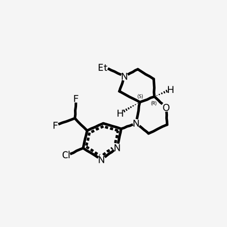 CCN1CC[C@H]2OCCN(c3cc(C(F)F)c(Cl)nn3)[C@H]2C1